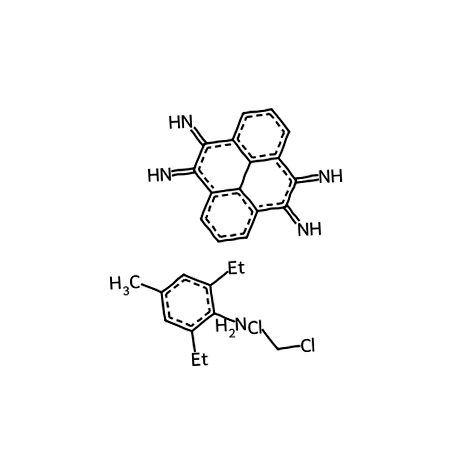 CCc1cc(C)cc(CC)c1N.ClCCl.N=c1c(=N)c2cccc3c2-c2c1cccc2c(=N)c3=N